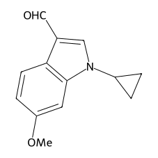 COc1ccc2c(C=O)cn(C3CC3)c2c1